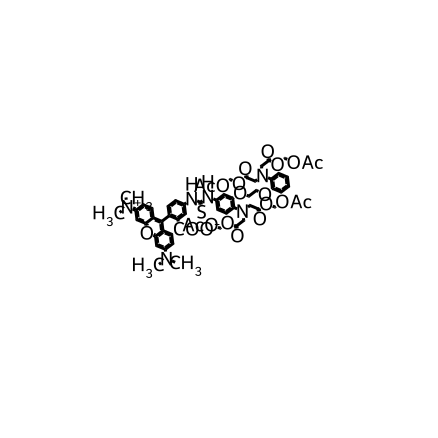 CC(=O)OCOC(=O)CN(CC(=O)OCOC(C)=O)c1ccccc1OCCOc1cc(NC(=S)Nc2ccc(-c3c4ccc(=[N+](C)C)cc-4oc4cc(N(C)C)ccc34)c(C(=O)[O-])c2)ccc1N(CC(=O)OCOC(C)=O)CC(=O)OCOC(C)=O